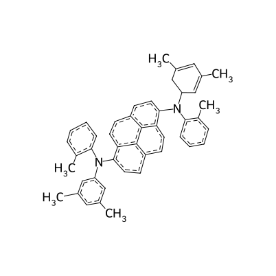 CC1=CC(N(c2ccccc2C)c2ccc3ccc4c(N(c5cc(C)cc(C)c5)c5ccccc5C)ccc5ccc2c3c54)CC(C)=C1